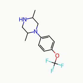 CC1CN(c2ccc(OC(F)(F)F)cc2)C(C)CN1